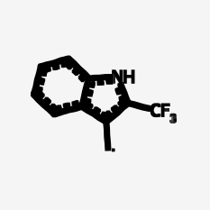 [CH2]c1c(C(F)(F)F)[nH]c2ccccc12